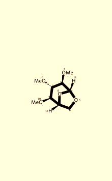 CO[C@@H]1[C@@H](OC)[C@@H]2OC[C@@H](O2)[C@H]1OC